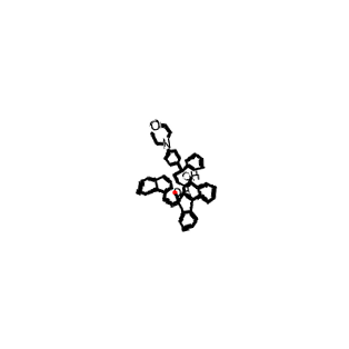 Cc1c(/C=C\C(O)(c2ccccc2)c2ccc(N3CCOCC3)cc2)c2c(c3ccccc13)-c1ccccc1C2(C)/C=C\c1c(O)ccc2ccccc12